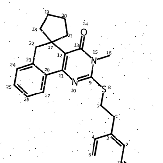 C=C/C=C(\C=C)CCSc1nc2c(c(=O)n1C)C1(CCCC1)Cc1ccccc1-2